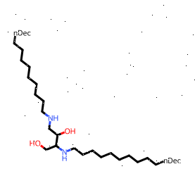 CCCCCCCCCCCCCCCCCCCCNC(CO)C(O)CNCCCCCCCCCCCCCCCCCCC